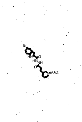 CCCCCCCCN1C=CC=C(/C=C/C(=O)NNC(=O)c2cc3cc(Br)ccc3[nH]2)C1